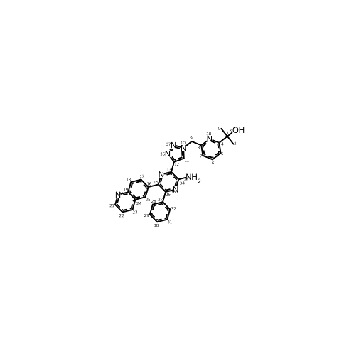 CC(C)(O)c1cccc(Cn2cc(-c3nc(-c4ccc5ncccc5c4)c(-c4ccccc4)nc3N)nn2)n1